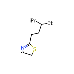 CCC(CCC1=N[CH]CS1)C(C)C